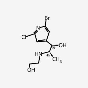 C[C@@H](NCCO)[C@H](O)c1cc(Cl)nc(Br)c1